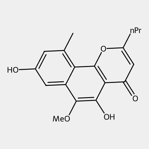 CCCc1cc(=O)c2c(O)c(OC)c3cc(O)cc(C)c3c2o1